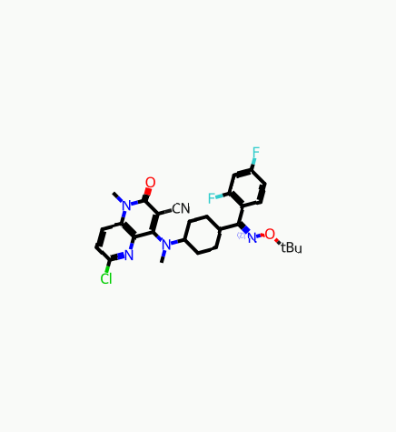 CN(c1c(C#N)c(=O)n(C)c2ccc(Cl)nc12)C1CCC(/C(=N/OC(C)(C)C)c2ccc(F)cc2F)CC1